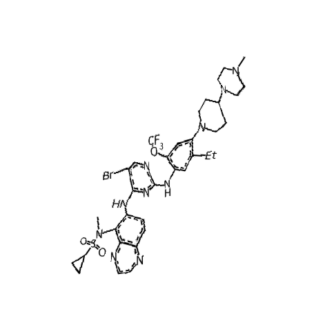 CCc1cc(Nc2ncc(Br)c(Nc3ccc4nccnc4c3N(C)S(=O)(=O)C3CC3)n2)c(OC(F)(F)F)cc1N1CCC(N2CCN(C)CC2)CC1